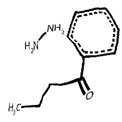 CCCC(=O)c1ccccc1.NN